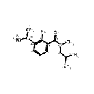 CC(C)CN(C)C(=O)c1cccc(B(O)O)c1F